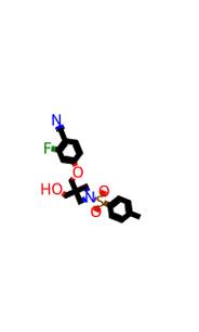 Cc1ccc(S(=O)(=O)N2CC(CO)(COc3ccc(C#N)c(F)c3)C2)cc1